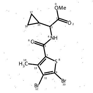 COC(=O)C(NC(=O)c1sc(Br)c(Br)c1C)C1CC1